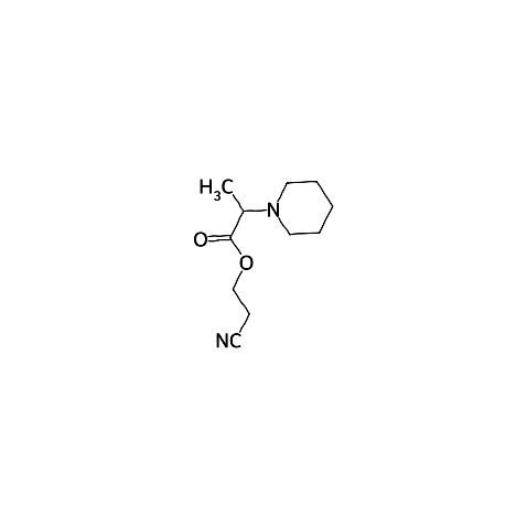 CC(C(=O)OCCC#N)N1CCCCC1